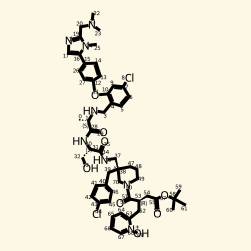 C[C@H](NCc1ccc(Cl)cc1Oc1ccc(-c2cnc(CN(C)C)n2C)cc1)C(=O)N[C@@H](CO)C(=O)NC[C@@]1(Cc2ccc(Cl)cc2)CCCN(C(=O)[C@@H](CC(=O)OC(C)(C)C)Cc2cccc[n+]2O)C1